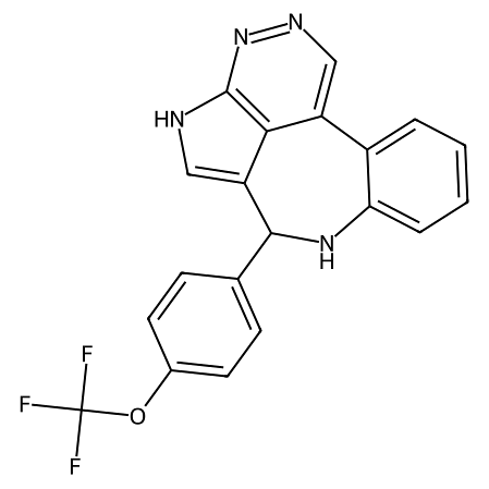 FC(F)(F)Oc1ccc(C2Nc3ccccc3-c3cnnc4[nH]cc2c34)cc1